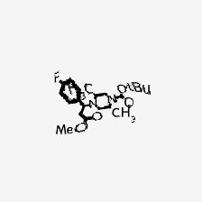 COC(=O)CC(c1ccc(F)cc1)N1C[C@H](C)N(C(=O)OC(C)(C)C)C[C@H]1C